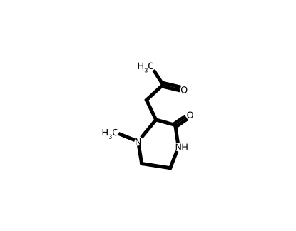 CC(=O)CC1C(=O)NCCN1C